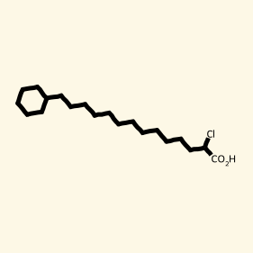 O=C(O)C(Cl)CCCCCCCCCCCCC1CCCCC1